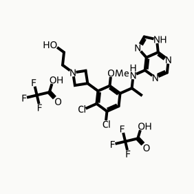 COc1c(C(C)Nc2ncnc3[nH]cnc23)cc(Cl)c(Cl)c1C1CN(CCO)C1.O=C(O)C(F)(F)F.O=C(O)C(F)(F)F